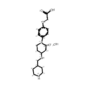 Cl.Cl.O=C(O)COc1ccc(N2CCC(NCC3CCNCC3)CC2)cc1